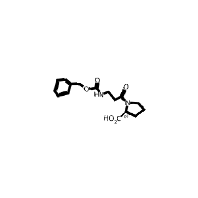 O=C(NCCC(=O)N1CCC[C@H]1C(=O)O)OCc1ccccc1